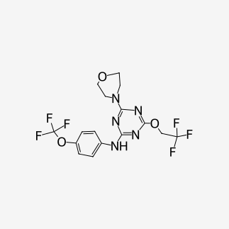 FC(F)(F)COc1nc(Nc2ccc(OC(F)(F)F)cc2)nc(N2CCOCC2)n1